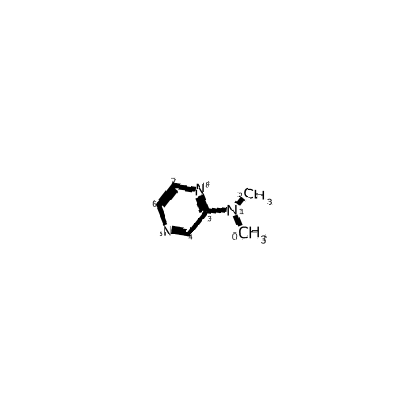 CN(C)c1cn[c]cn1